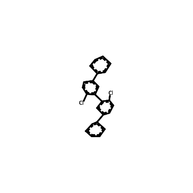 Clc1ccc(-c2ccccc2)cc1-c1cc(-c2ccccc2)ccc1Cl